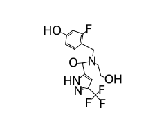 O=C(c1cc(C(F)(F)F)n[nH]1)N(CCO)Cc1ccc(O)cc1F